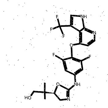 CC(C)(CO)[C@@H]1CN=C(Nc2cc(F)c(Oc3ccnc4[nH]cc(C(F)(F)F)c34)c(F)c2)O1